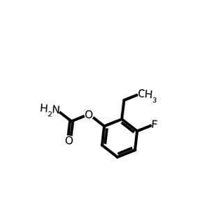 CCc1c(F)cccc1OC(N)=O